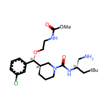 COC(=O)NCCO[C@@H](c1cccc(Cl)c1)[C@@H]1CCCN(C(=O)N[C@H](CN)CC(C)(C)C)C1